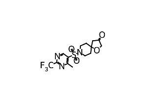 Cc1nc(C(F)(F)F)ncc1S(=O)(=O)N1CCC2(CC1)CC(=O)CO2